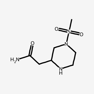 CS(=O)(=O)N1CCNC(CC(N)=O)C1